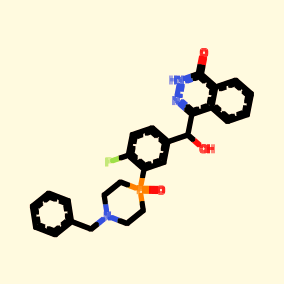 O=c1[nH]nc(C(O)c2ccc(F)c(P3(=O)CCN(Cc4ccccc4)CC3)c2)c2ccccc12